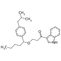 CCCCC(OCCC(=O)c1c[nH]c2ccccc12)c1ccc(CC(C)C)cc1